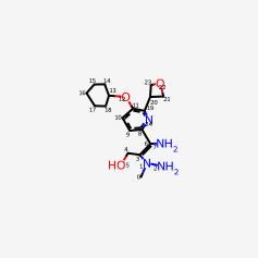 CN(N)/C(CO)=C(\N)c1ccc(OC2CCCCC2)c(C2COC2)n1